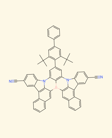 CC(C)(C)c1cc(-c2ccccc2)cc(C(C)(C)C)c1-c1cc2c3c(c1)-n1c4ccc(C#N)cc4c4c5ccccc5cc(c41)B3c1cc3ccccc3c3c4cc(C#N)ccc4n-2c13